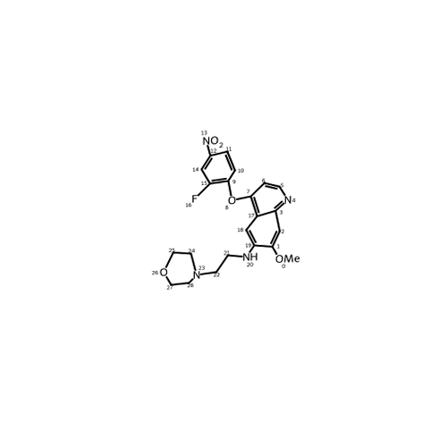 COc1cc2nccc(Oc3ccc([N+](=O)[O-])cc3F)c2cc1NCCN1CCOCC1